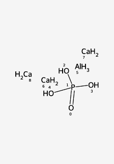 O=P(O)(O)O.[AlH3].[CaH2].[CaH2].[CaH2]